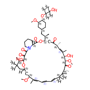 [2H]C1([2H])C[C@H]2C[C@H](OC)/C(C)=C/C=C/C=C/[C@@]([2H])(C)C([2H])(C)[C@@H](C)C(=O)[C@H](OC)[C@H](O)/C(C)=C/[C@@H](C)C(=O)C[C@@H]([C@H](C)C[C@@H]3CC[C@@H](OC([2H])([2H])C([2H])([2H])O)[C@H](OC)C3)OC(=O)[C@@H]3CCCCN3C(=O)C(=O)[C@](O)(O2)[C@@H]1C